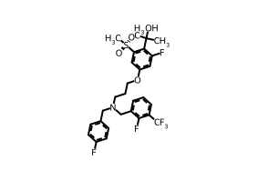 CC(C)(O)c1c(F)cc(OCCCN(Cc2ccc(F)cc2)Cc2cccc(C(F)(F)F)c2F)cc1S(C)(=O)=O